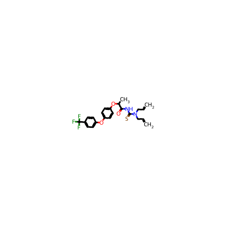 C=CCN(CC=C)C(=S)NC(=O)C(C)Oc1ccc(Oc2ccc(C(F)(F)F)cc2)cc1